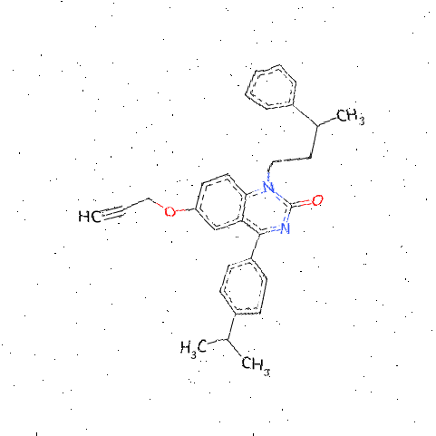 C#CCOc1ccc2c(c1)c(-c1ccc(C(C)C)cc1)nc(=O)n2CCC(C)c1ccccc1